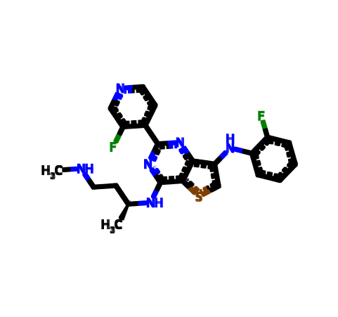 CNCC[C@H](C)Nc1nc(-c2ccncc2F)nc2c(Nc3ccccc3F)csc12